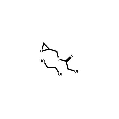 OCC(=S)SCC1CO1.OCCO